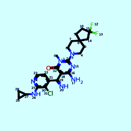 Cn1c(N2CCC3(CC2)CCC(F)(F)C3)nc(N)c(C(=N)c2ccnc(NC3CC3)c2Cl)c1=O